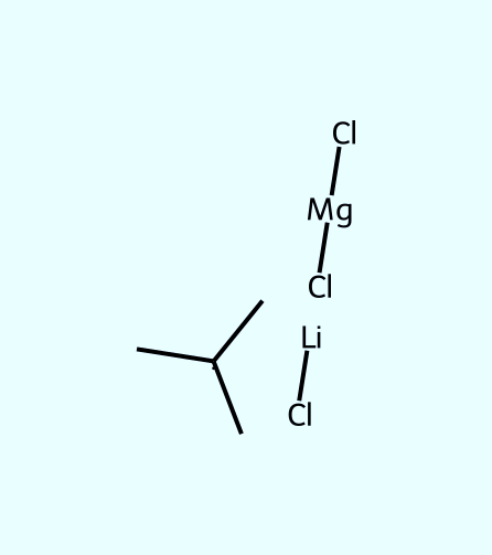 C[C](C)C.[Cl][Mg][Cl].[Li][Cl]